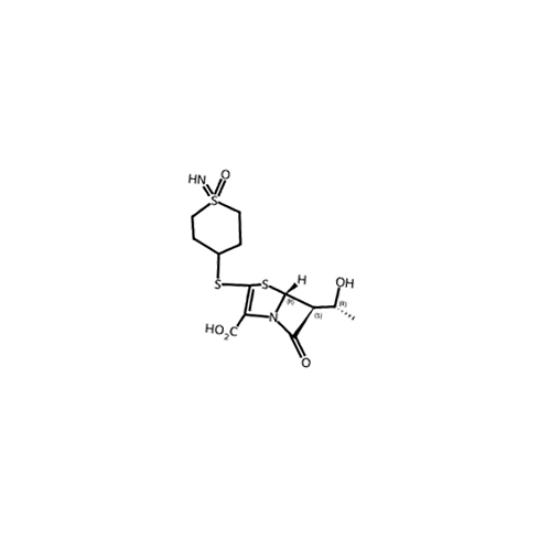 C[C@@H](O)[C@H]1C(=O)N2C(C(=O)O)=C(SC3CCS(=N)(=O)CC3)S[C@H]12